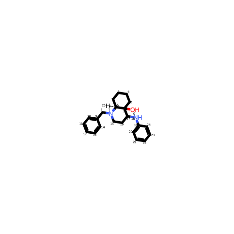 OC12CCCC[C@@H]1N(Cc1ccccc1)CCC2Nc1ccccc1